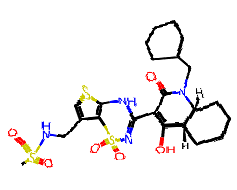 CS(=O)(=O)NCc1csc2c1S(=O)(=O)N=C(C1=C(O)[C@H]3CCCC[C@H]3N(CC3CCCCC3)C1=O)N2